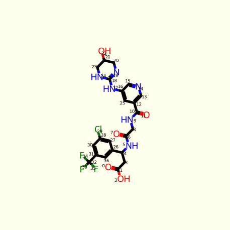 O=C(O)CC(NC(=O)CNC(=O)c1cncc(NC2=NCC(O)CN2)c1)c1cc(Cl)cc(C(F)(F)F)c1